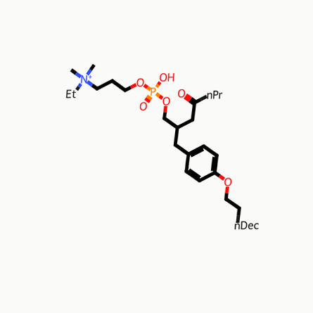 CCCCCCCCCCCCOc1ccc(CC(COP(=O)(O)OCCC[N+](C)(C)CC)CC(=O)CCC)cc1